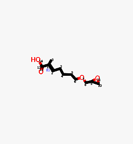 C/C(=C\CCCCOCC1CO1)C(=O)O